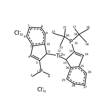 CP(C)C1=Cc2ccccc2[CH]1[Ti+2][CH]1C(P(C(C)(C)C)C(C)(C)C)=Cc2ccccc21.[Cl-].[Cl-]